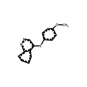 COc1ccc(Sc2cnnc3ccccc23)cc1